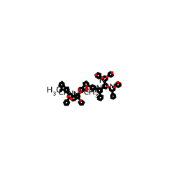 CC1(C)c2ccccc2-c2ccc(-c3cc(-c4ccccc4)c4ccc5c(-c6ccccc6)cc(-c6ccc7c(c6)C(C)(C)c6c(-c8ccc(-c9cc(-c%10ccccc%10)cc(-c%10cc(-c%11cc(-c%12ccccc%12)cc(-c%12ccccc%12)n%11)cc(-c%11cc(-c%12ccccc%12)cc(-c%12ccccc%12)n%11)c%10)n9)cc8)cccc6-7)nc5c4n3)cc21